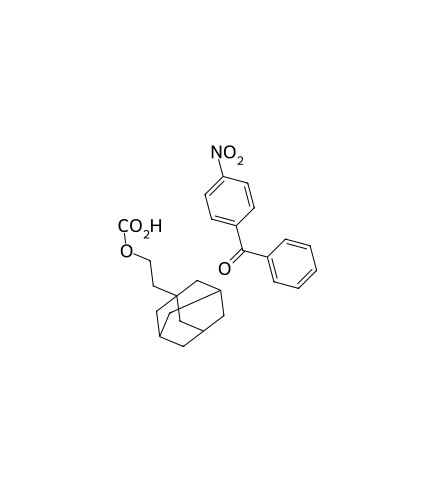 O=C(O)OCCC12CC3CC(CC(C3)C1)C2.O=C(c1ccccc1)c1ccc([N+](=O)[O-])cc1